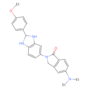 CCOc1ccc(C2Nc3ccc(N4Cc5cc(N(CC)CC)ccc5C4=O)cc3N2)cc1